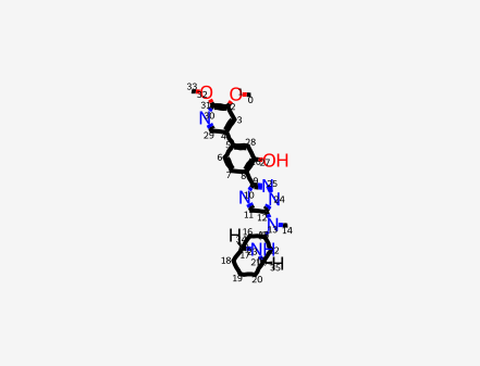 COc1cc(-c2ccc(-c3ncc(N(C)[C@@H]4C[C@H]5CCC[C@@H](C4)N5)nn3)c(O)c2)cnc1OC